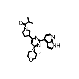 CC(C)C(=O)N1CCC(c2cc(N3CCOC[C@H]3C)nc(-c3ccnc4[nH]ccc34)n2)C1